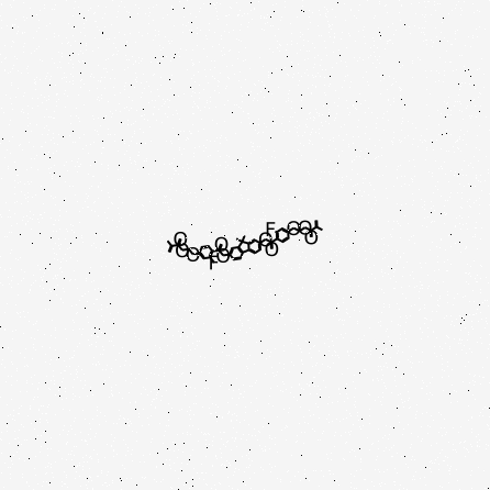 C=C(C)C(=O)OCOc1ccc(C(=O)Oc2ccc3c(c2)C(C)(C)c2cc(OC(=O)c4ccc(OCOC(=O)C(=C)C)cc4F)ccc2-3)c(F)c1